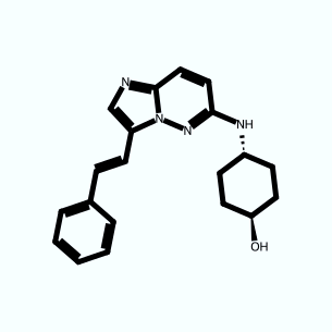 O[C@H]1CC[C@H](Nc2ccc3ncc(C=Cc4ccccc4)n3n2)CC1